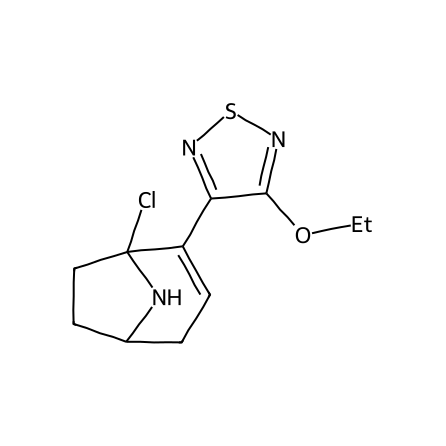 CCOc1nsnc1C1=CCC2CCC1(Cl)N2